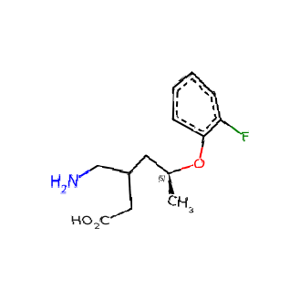 C[C@@H](CC(CN)CC(=O)O)Oc1ccccc1F